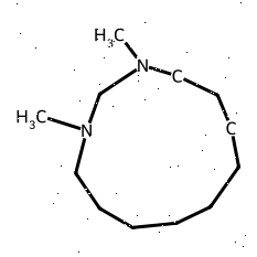 CN1CCCCCCCCCN(C)C1